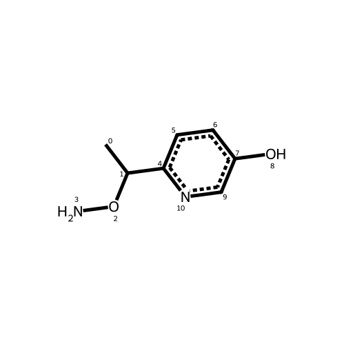 CC(ON)c1ccc(O)cn1